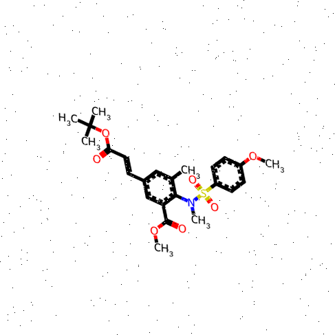 COC(=O)c1cc(C=CC(=O)OC(C)(C)C)cc(C)c1N(C)S(=O)(=O)c1ccc(OC)cc1